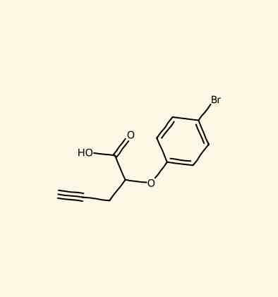 C#CCC(Oc1ccc(Br)cc1)C(=O)O